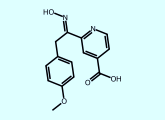 COc1ccc(C/C(=N\O)c2cc(C(=O)O)ccn2)cc1